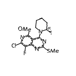 COc1nc(Cl)c(F)c2nc(SC)nc(N3CCCC[C@H]3I)c12